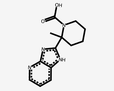 CC1(c2nc3ncccc3[nH]2)CCCCN1C(=O)O